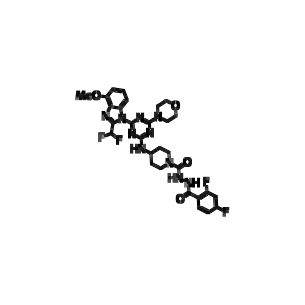 COc1cccc2c1nc(C(F)F)n2-c1nc(NC2CCN(C(=O)NNC(=O)c3ccc(F)cc3F)CC2)nc(N2CCOCC2)n1